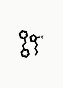 CCCCC1=[C]([Hf])CC=C1.c1ccc(CCc2ccccc2)cc1